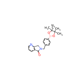 CC1(C)OB(c2ccc(CN3Cc4ncccc4C3=O)cc2)OC1(C)C